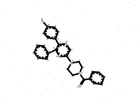 O=C(c1ccccc1)N1CCN(c2cnc(-c3ccc(F)cc3)c(-c3ccccc3)n2)CC1